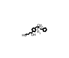 CC(C)(Cc1ccc(C(O)CCCO)cc1)OCc1ccccc1